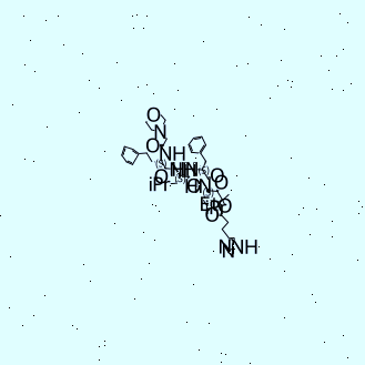 CCC(C)(OC(=O)CCc1c[nH]nn1)C(=O)[C@H](CC(C)C)NC(=O)[C@H](Cc1ccccc1)NC(=O)[C@H](CC(C)C)NC(=O)[C@H](CCc1ccccc1)NC(=O)CN1CCOCC1